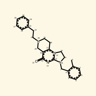 Cc1ccccc1CN1CCn2c1nc(=O)c1c2CCN(CCc2ccccc2)C1